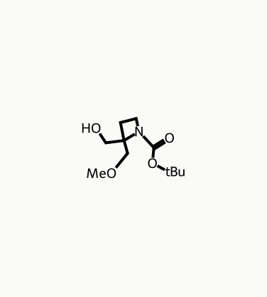 COCC1(CO)CCN1C(=O)OC(C)(C)C